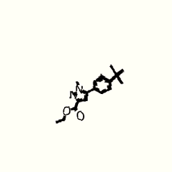 CCOC(=O)c1cc(-c2ccc(C(C)(C)C)cc2)n(C)n1